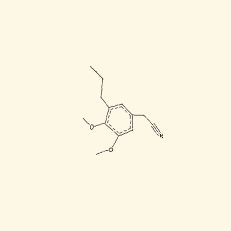 CCCc1cc(CC#N)cc(OC)c1OC